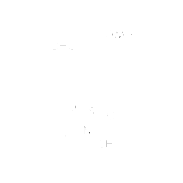 COc1ccc(S(=O)(=O)N(C)C)cc1C=O